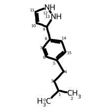 CC(C)CCc1ccc(C2C=CNN2)cc1